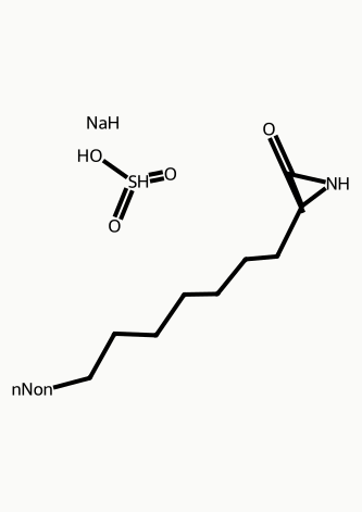 CCCCCCCCCCCCCCCCC1NC1=O.O=[SH](=O)O.[NaH]